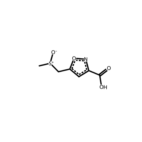 C[S+]([O-])Cc1cc(C(=O)O)no1